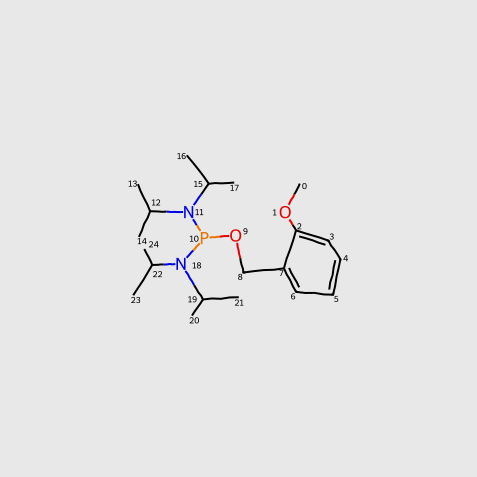 COc1ccccc1COP(N(C(C)C)C(C)C)N(C(C)C)C(C)C